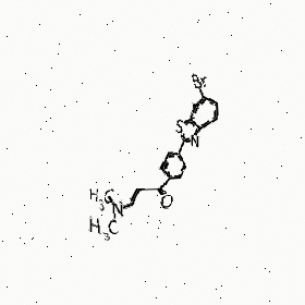 CN(C)/C=C/C(=O)c1ccc(-c2nc3ccc(Br)cc3s2)cc1